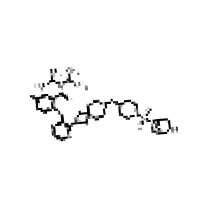 CC(C)N(C(=O)c1cc(F)ccc1Oc1nncnc1N1CC2(CCN(CC3CCN(S(=O)(=O)N4CC5CC4CN5)CC3)CC2)C1)C(C)C